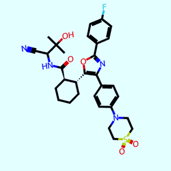 CC(C)(O)C(C#N)NC(=O)[C@@H]1CCCC[C@H]1c1oc(-c2ccc(F)cc2)nc1-c1ccc(N2CCS(=O)(=O)CC2)cc1